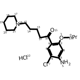 CCCOc1cc(N)c(Cl)cc1C(=O)CCCCN1CCCCC1.Cl